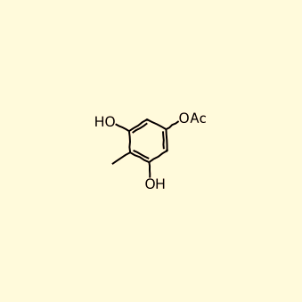 CC(=O)Oc1cc(O)c(C)c(O)c1